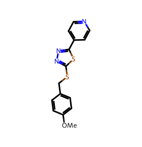 COc1ccc(CSc2nnc(-c3ccncc3)s2)cc1